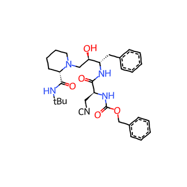 CC(C)(C)NC(=O)[C@@H]1CCCCN1C[C@@H](O)[C@H](Cc1ccccc1)NC(=O)[C@H](CC#N)NC(=O)OCc1ccccc1